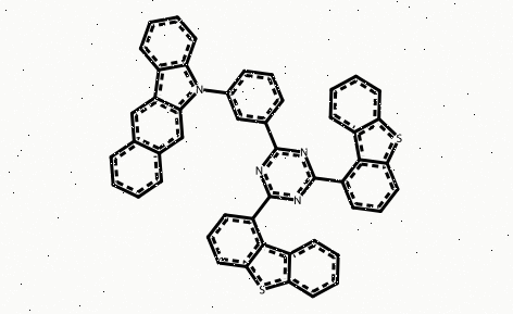 c1cc(-c2nc(-c3cccc4sc5ccccc5c34)nc(-c3cccc4sc5ccccc5c34)n2)cc(-n2c3ccccc3c3cc4ccccc4cc32)c1